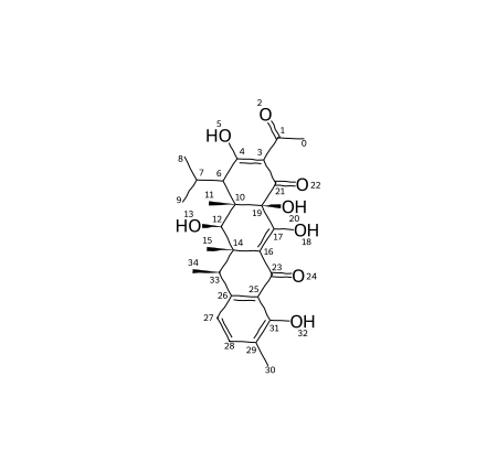 CC(=O)C1=C(O)C(C(C)C)[C@@]2(C)[C@H](O)[C@]3(C)C(=C(O)[C@@]2(O)C1=O)C(=O)c1c(ccc(C)c1O)[C@H]3C